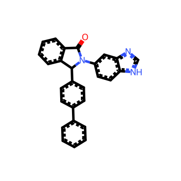 O=C1c2ccccc2C(c2ccc(-c3ccccc3)cc2)N1c1ccc2[nH]cnc2c1